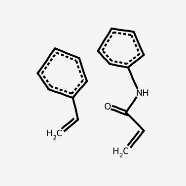 C=CC(=O)Nc1ccccc1.C=Cc1ccccc1